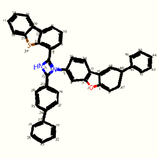 C1=c2oc3cc([N+]4=C(c5cccc6c5sc5ccccc56)NC4c4ccc(-c5ccccc5)cc4)ccc3c2=CC(c2ccccc2)C1